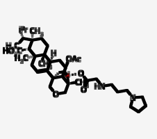 CC(=O)O[C@@H]1C[C@@]23COC[C@](C)([C@@H]2CC[C@H]2C3=CC[C@@]3(C)[C@H](C(=O)O)[C@@](C)([C@H](C)C(C)C)CC[C@]23C)[C@H]1OC(=O)CNCCCN1CCCC1